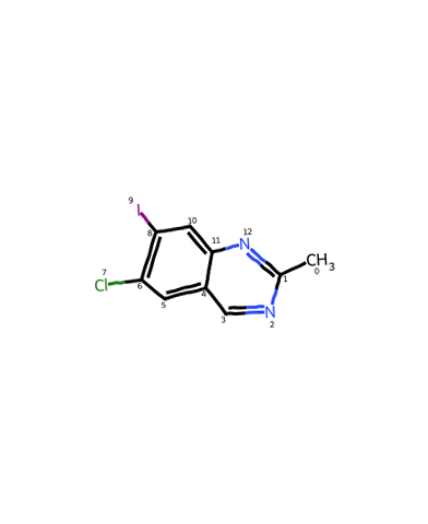 Cc1ncc2cc(Cl)c(I)cc2n1